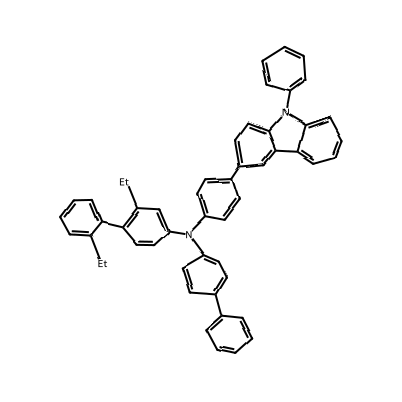 CCc1ccccc1-c1ccc(N(c2ccc(-c3ccccc3)cc2)c2ccc(-c3ccc4c(c3)c3ccccc3n4-c3ccccc3)cc2)cc1CC